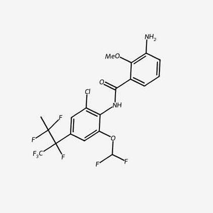 COc1c(N)cccc1C(=O)Nc1c(Cl)cc(C(F)(C(C)(F)F)C(F)(F)F)cc1OC(F)F